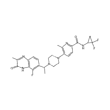 Cc1nc(C(=O)NC2CC2(F)F)ccc1N1CCN(C(C)c2ccc3nc(C)c(=O)[nH]c3c2F)CC1